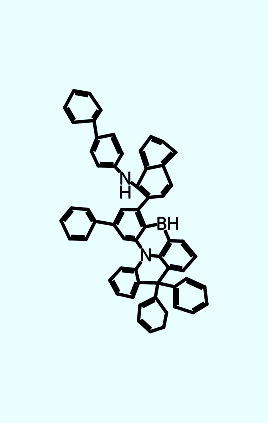 B1c2cccc3c2N(c2ccccc2C3(C2=CC=CCC2)c2ccccc2)c2cc(-c3ccccc3)cc(-c3ccc4ccccc4c3Nc3ccc(-c4ccccc4)cc3)c21